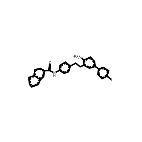 O=C(Nc1ccc(CCc2cc(-c3ccc(F)cc3)ccc2C(=O)O)cc1)c1ccc2ccccc2c1